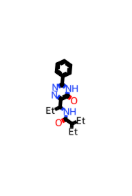 CCC(CC)C(=O)NC(CC)c1nnc(-c2ccccc2)[nH]c1=O